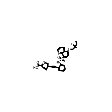 CCC(F)(F)COc1ccc(S(=O)(=O)Nc2ccccc2C#Cc2ccc(C(=O)O)nc2)c2ncccc12